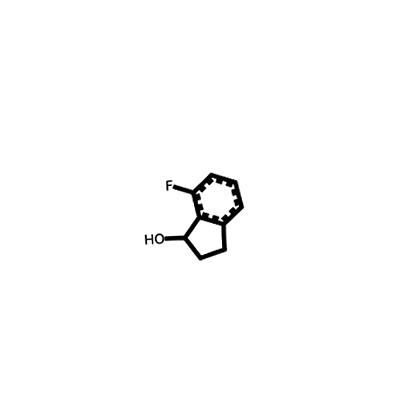 OC1CCc2cccc(F)c21